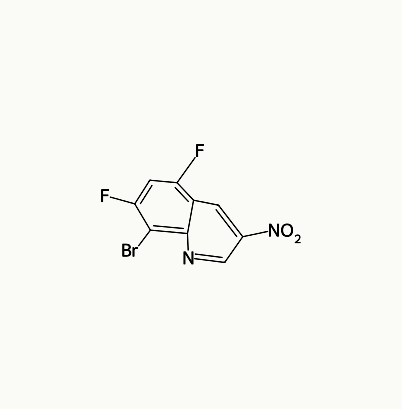 O=[N+]([O-])c1cnc2c(Br)c(F)cc(F)c2c1